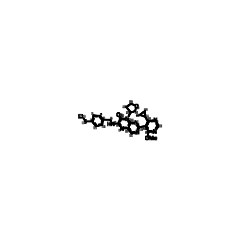 CCSc1ccc(CNc2nc3cnc(-c4c(OC)ncnc4C4CC4)nc3n(C3CCOC3)c2=O)cc1